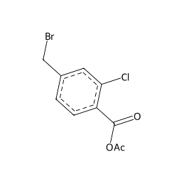 CC(=O)OC(=O)c1ccc(CBr)cc1Cl